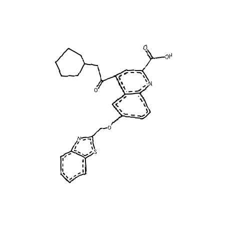 O=C(O)c1cc(C(=O)CC2CCCCC2)c2cc(OCc3nc4ccccc4s3)ccc2n1